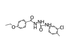 CCOc1ccc(C(=O)NNC(=O)Nc2ccc(C)c(Cl)c2)cc1